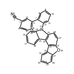 N#Cc1ccnc(-c2ccccc2-n2c3ccccc3c3c4c(ccc32)oc2ccccc24)c1